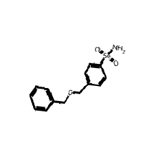 N[Se](=O)(=O)c1ccc(COCc2ccccc2)cc1